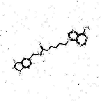 Nc1ncnc2c1ncn2CCCCOC(=O)NCc1ccc2c(c1)OCO2